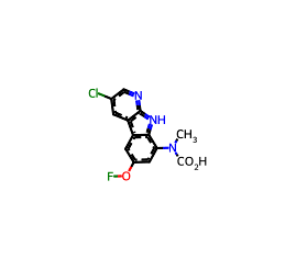 CN(C(=O)O)c1cc(OF)cc2c1[nH]c1ncc(Cl)cc12